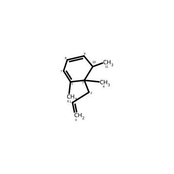 C=CCC1(C)C(C)=CC=CC1C